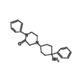 NC1(c2ccccc2)CCC(N2CCN(c3ccccc3)C(=O)C2)CC1